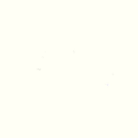 Nc1ccccc1NC(=O)c1ccc(CNC(=O)OCc2ccc(C3CC3NC3CCS(=O)(=O)CC3)cc2)cc1